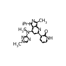 Cc1nn(C(C)C)c2c(N(C)c3ncn(C)n3)cc(-c3ccc[nH]c3=O)nc12